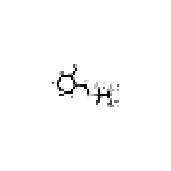 CCC(CC)C(C)(CC)CCC1COCCC1C